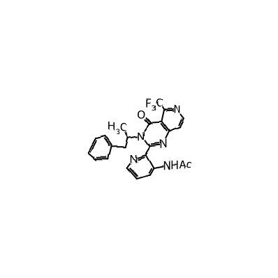 CC(=O)Nc1cccnc1-c1nc2ccnc(C(F)(F)F)c2c(=O)n1[C@H](C)Cc1ccccc1